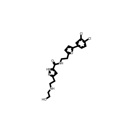 O=C(NCCc1ccc(-c2ccc(Cl)c(Cl)c2)o1)c1cc(CCNCCO)n[nH]1